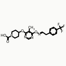 Cc1c(ON=CCc2ccc(C(F)(F)F)cc2)ncnc1OC1CCN(C(=O)O)CC1